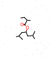 CCC(C)C(=O)OC(CC(C)C)CC(C)C